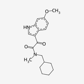 COc1ccc2c(C(=O)C(=O)N(C)CC3CCCCC3)c[nH]c2c1